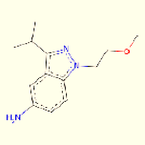 COCCn1nc(C(C)C)c2cc(N)ccc21